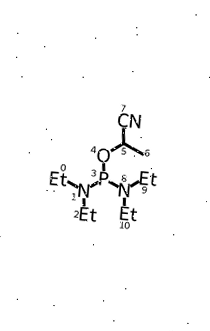 CCN(CC)P(OC(C)C#N)N(CC)CC